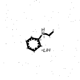 CCNc1ccccc1.[LiH]